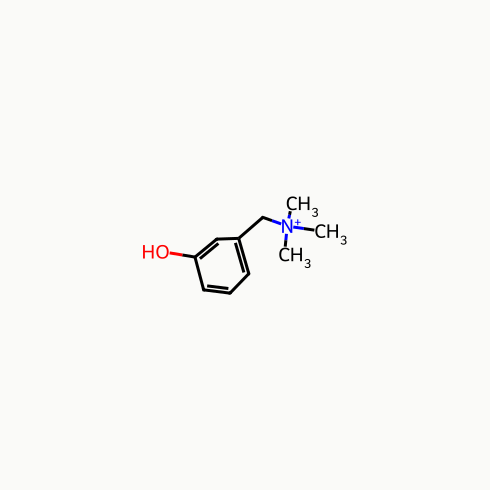 C[N+](C)(C)Cc1cccc(O)c1